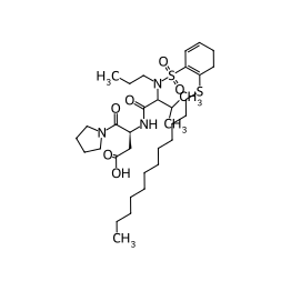 CCCCCCCCCCCCSC1=C(S(=O)(=O)N(CCC)C(C(=O)N[C@@H](CC(=O)O)C(=O)N2CCCC2)C(C)C)C=CCC1